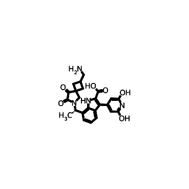 C[C@@H](c1cccc2c(-c3cc(O)nc(O)c3)c(C(=O)O)[nH]c12)N1CC2(CC(CN)C2)C(=O)C1=O